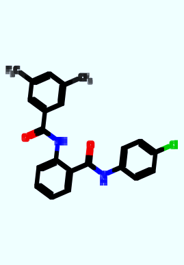 O=C(Nc1ccccc1C(=O)Nc1ccc(Cl)cc1)c1cc(C(F)(F)F)cc(C(F)(F)F)c1